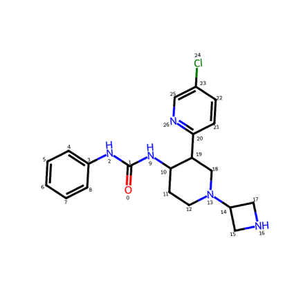 O=C(Nc1ccccc1)NC1CCN(C2CNC2)CC1c1ccc(Cl)cn1